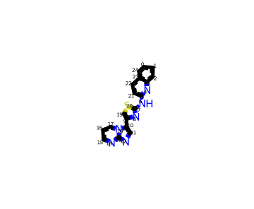 c1ccc2nc(Nc3nc(-c4cnc5ncccn45)cs3)ccc2c1